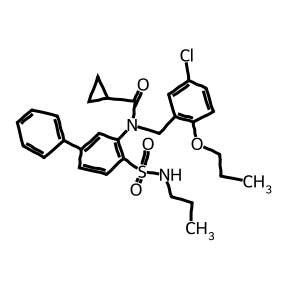 CCCNS(=O)(=O)c1ccc(-c2ccccc2)cc1N(Cc1cc(Cl)ccc1OCCC)C(=O)C1CC1